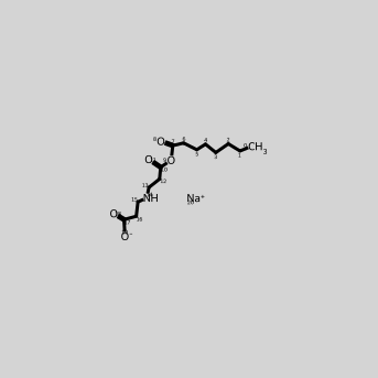 CCCCCCCC(=O)OC(=O)CCNCCC(=O)[O-].[Na+]